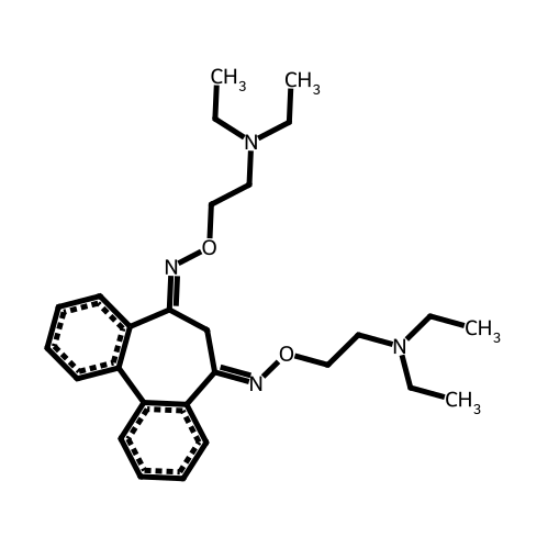 CCN(CC)CCON=C1CC(=NOCCN(CC)CC)c2ccccc2-c2ccccc21